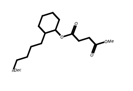 CCCCCCCCCCCCCCC1CCCCC1OC(=O)CCC(=O)OC